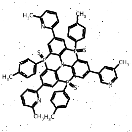 Cc1ccc(P2(=S)c3cc(-c4cncc(C)c4)cc4c3N3c5c2cc(-c2cccc(C)n2)cc5P(=S)(c2ccc(C)cc2)c2cc(-c5cccc(C)n5)cc(c23)P4(=S)c2ccc(C)cc2)cc1